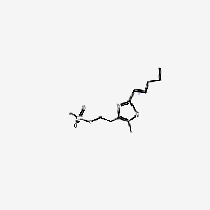 CCC/C=C/c1nc(CCOS(C)(=O)=O)c(C)o1